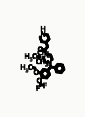 CCOc1cc(C(c2ccccc2)N2CCN(C(=O)CC3CCNCC3)[C@@H](C(C)(C)C)C2)ccc1OC(F)F